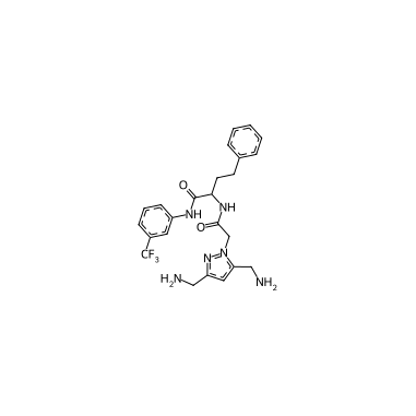 NCc1cc(CN)n(CC(=O)NC(CCc2ccccc2)C(=O)Nc2cccc(C(F)(F)F)c2)n1